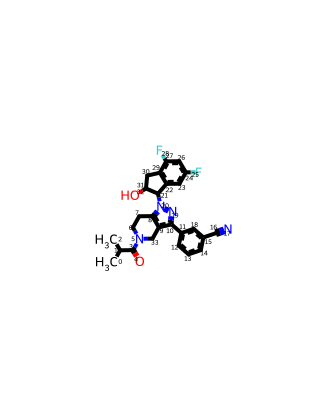 CC(C)C(=O)N1CCc2c(c(-c3cccc(C#N)c3)nn2C2c3cc(F)cc(F)c3CC2O)C1